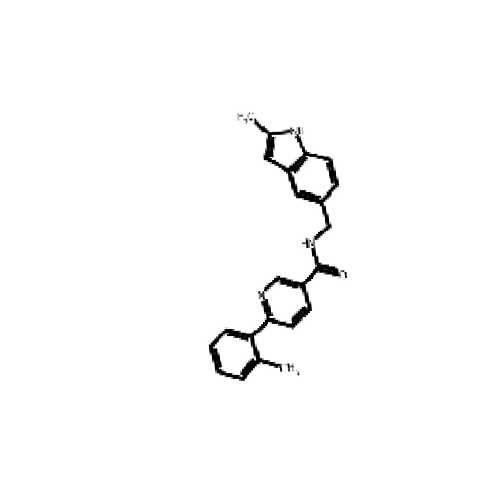 Cc1ccccc1-c1ccc(C(=O)NCc2ccc3[nH]c(C(F)(F)F)cc3c2)cn1